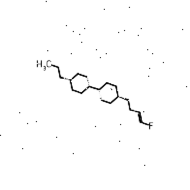 CCC[C@H]1CC[C@H]([C@H]2CC[C@H](CCC=CF)CC2)CC1